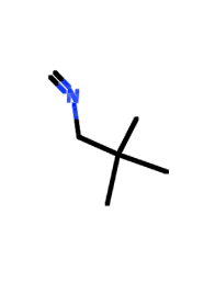 C=NCC(C)(C)C